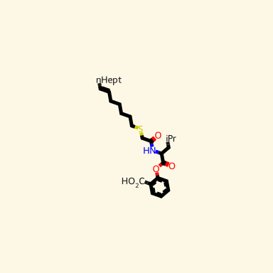 CCCCCCCC=CCCCCCSCC(=O)NC(CC(C)C)C(=O)Oc1ccccc1C(=O)O